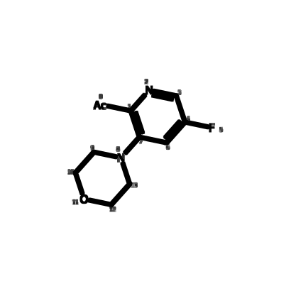 CC(=O)c1ncc(F)cc1N1CCOCC1